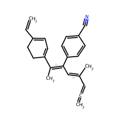 C=C=C/C(C)=C/C(=C(\C)C1=CC=C(C=C)CC1)c1ccc(C#N)cc1